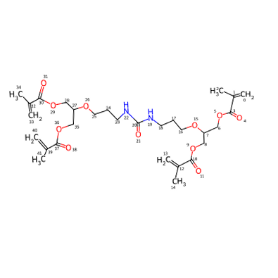 C=C(C)C(=O)OCC(COC(=O)C(=C)C)OCCCNC(=O)NCCCOC(COC(=O)C(=C)C)COC(=O)C(=C)C